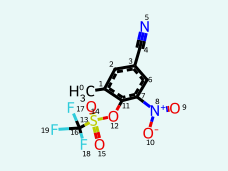 Cc1cc(C#N)cc([N+](=O)[O-])c1OS(=O)(=O)C(F)(F)F